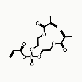 C=CC(=O)OP(=O)(OCCOC(=O)C(=C)C)OCCOC(=O)C(=C)C